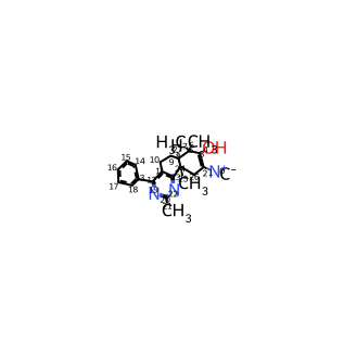 [C-]#[N+]C1=C(O)C(C)(C)[C@@H]2CCc3c(-c4ccccc4)nc(C)nc3[C@@]2(C)C1